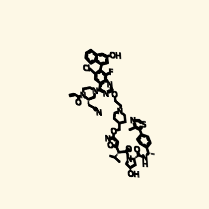 C=CC(=O)N1CCN(c2nc(OCCN3CCC(COc4cc([C@H](C(=O)N5C[C@@H](O)C[C@H]5C(=O)N[C@@H](C)c5ccc(-c6scnc6C)cc5)C(C)C)on4)CC3)nc3c(F)c(-c4cc(O)cc5ccccc45)c(Cl)cc23)C[C@@H]1CC#N